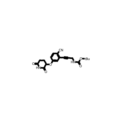 CC(C)(C)OC(=O)NCC#Cc1cc(OC2CCC(=O)NC2=O)ccc1C#N